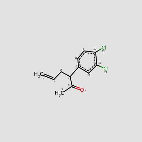 C=CCC(C(C)=O)c1ccc(Cl)c(Cl)c1